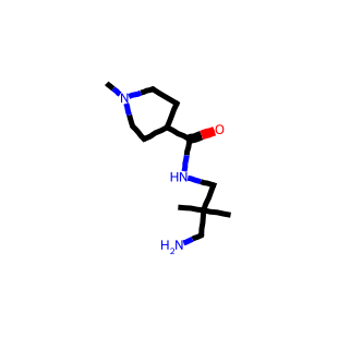 CN1CCC(C(=O)NCC(C)(C)CN)CC1